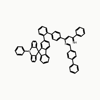 N=C(/C=C(\N=C\c1ccc(-c2ccccc2)cc1)c1ccc(-c2ccccc2-c2ccc3c(c2)C2(c4ccccc4-3)c3ccccc3N(c3ccccc3)c3ccccc32)cc1)c1ccccc1